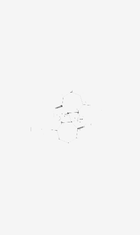 CCOC(=O)C1CCCC(=O)C(N)(C2(N)C(=O)CCCC(C(=O)OCC)C2=O)C1=O